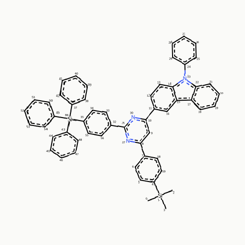 C[Si](C)(C)c1ccc(-c2cc(-c3ccc4c(c3)c3ccccc3n4-c3ccccc3)nc(-c3ccc([Si](c4ccccc4)(c4ccccc4)c4ccccc4)cc3)n2)cc1